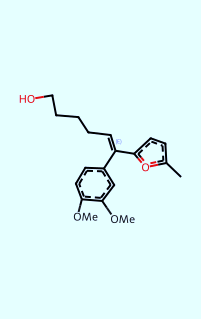 COc1ccc(/C(=C\CCCCO)c2ccc(C)o2)cc1OC